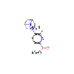 COC(=O)c1ccc(N2CC3CC(C2)N3C(=O)O)c(C)n1